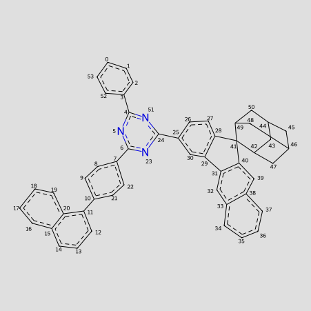 c1ccc(-c2nc(-c3ccc(-c4cccc5ccccc45)cc3)nc(-c3ccc4c(c3)-c3cc5ccccc5cc3C43C4CC5CC(C4)CC3C5)n2)cc1